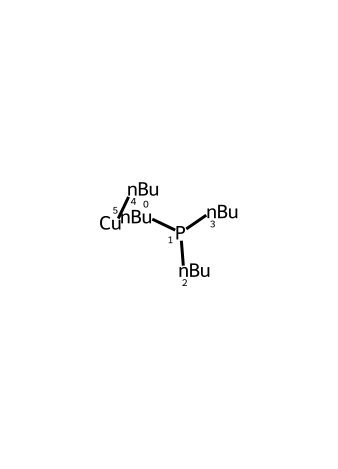 CCCCP(CCCC)CCCC.CCC[CH2][Cu]